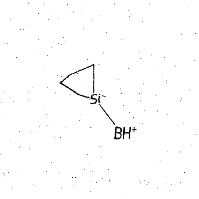 [BH+][Si-]1CC1